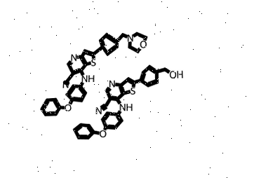 N#Cc1cnc2cc(-c3ccc(CN4CCOCC4)cc3)sc2c1Nc1ccc(Oc2ccccc2)cc1.N#Cc1cnc2cc(-c3ccc(CO)cc3)sc2c1Nc1ccc(Oc2ccccc2)cc1